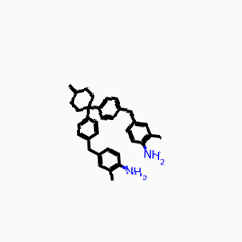 Cc1cc(Cc2ccc(C3(c4ccc(Cc5ccc(N)c(C)c5)cc4)CCC(C)CC3)cc2)ccc1N